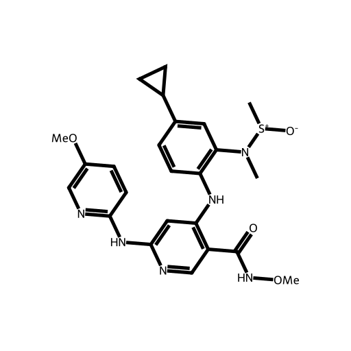 CONC(=O)c1cnc(Nc2ccc(OC)cn2)cc1Nc1ccc(C2CC2)cc1N(C)[S+](C)[O-]